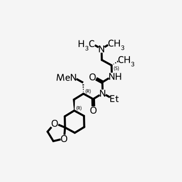 CCN(C(=O)N[C@@H](C)CN(C)C)C(=O)[C@@H](CNC)C[C@H]1CCCC2(C1)OCCO2